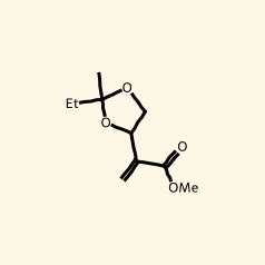 C=C(C(=O)OC)C1COC(C)(CC)O1